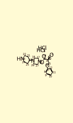 Cl.Cl.O=C=C(COc1ccccc1)C(=O)ON1CCN(C2CCNCC2)CC1